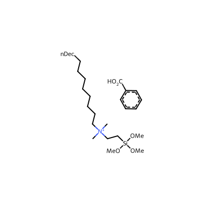 CCCCCCCCCCCCCCCCCC[N+](C)(C)CC[Si](OC)(OC)OC.O=C(O)c1ccccc1